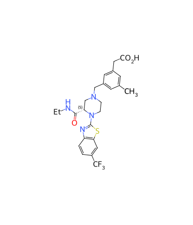 CCNC(=O)[C@@H]1CN(Cc2cc(C)cc(CC(=O)O)c2)CCN1c1nc2ccc(C(F)(F)F)cc2s1